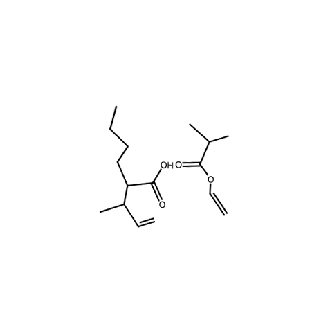 C=CC(C)C(CCCC)C(=O)O.C=COC(=O)C(C)C